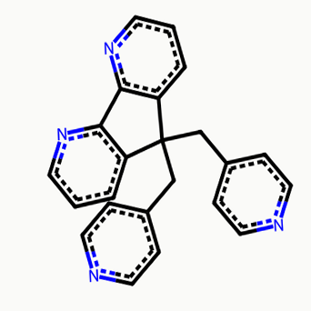 c1cnc2c(c1)C(Cc1ccncc1)(Cc1ccncc1)c1cccnc1-2